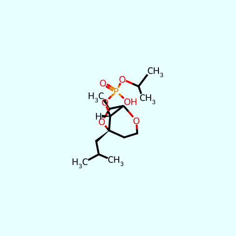 CC(C)C[C@@]12CCOC([C@H](C)O1)[C@H]2OP(=O)(O)OC(C)C